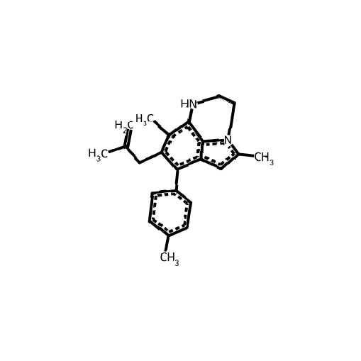 C=C(C)Cc1c(C)c2c3c(cc(C)n3CCN2)c1-c1ccc(C)cc1